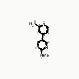 CNc1ncc(-c2ccnc(N)c2)cn1